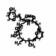 C=C1C[C@H](C)C[C@@H]2CC=C[C@@H](C/C=C\C(=O)N[C@H]([C@H](/C=C/[C@@H]3CC(C)=CCO3)OC)C[C@@H]3O[C@H]3[C@@H](O)C1)O2